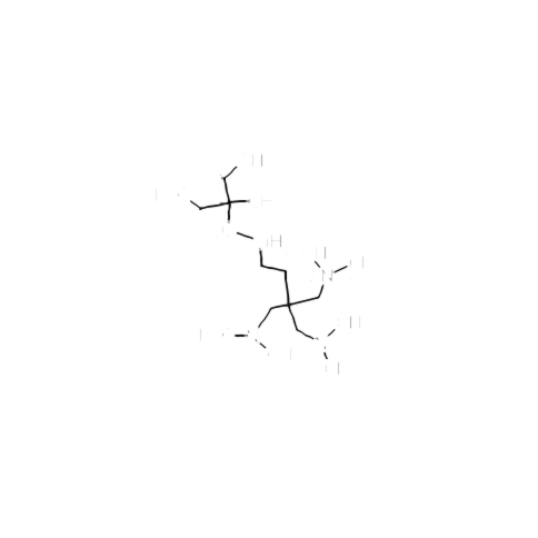 CCC(C)(CC)O[SiH2]CCC(CN(C)C)(CN(C)C)CN(C)C